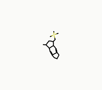 CC1CC(CS(C)(C)C)C2C=C3CCCC3=CC12